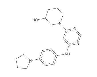 OC1CCCN(c2cc(Nc3ccc(N4CCCC4)cc3)ncn2)C1